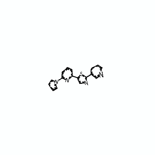 c1cncc(-c2ncc(-c3cccc(-n4cccc4)n3)s2)c1